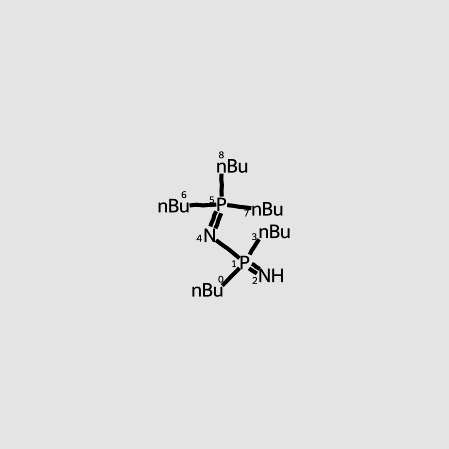 CCCCP(=N)(CCCC)N=P(CCCC)(CCCC)CCCC